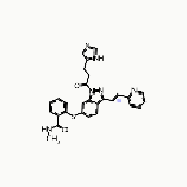 CNC(=O)c1ccccc1Sc1ccc2c(/C=C/c3ccccn3)nn(C(=O)CCc3cnc[nH]3)c2c1